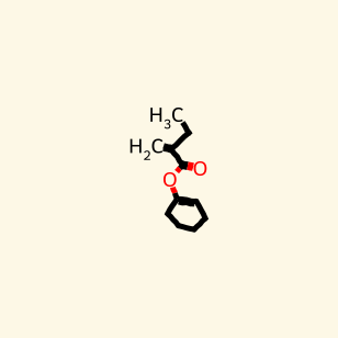 C=C(CC)C(=O)OC1=CCCCC1